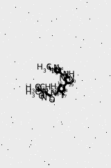 CCn1cc(-c2nc3c(-c4ccc(CNC(=O)c5noc(C(C)(C)C)n5)c(F)c4)ccnc3[nH]2)cn1